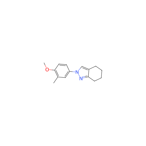 COc1ccc(-n2cc3c(n2)CCCC3)cc1C